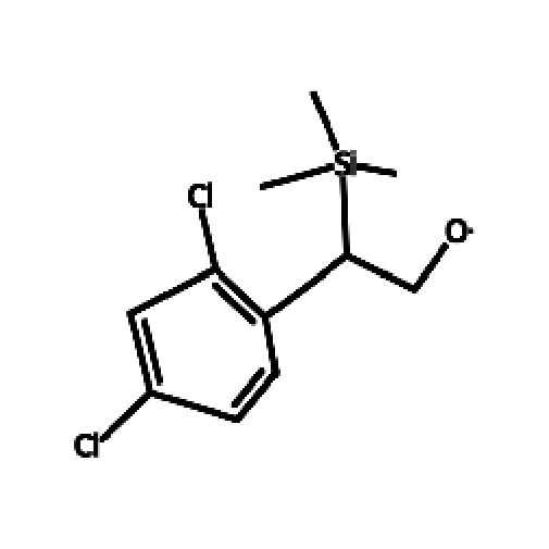 C[Si](C)(C)C(C[O])c1ccc(Cl)cc1Cl